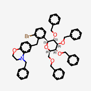 Brc1cccc([C@@H]2O[C@H](COCc3ccccc3)[C@@H](OCc3ccccc3)[C@H](OCc3ccccc3)[C@H]2OCc2ccccc2)c1Cc1ccc2c(c1)N(Cc1ccccc1)CCO2